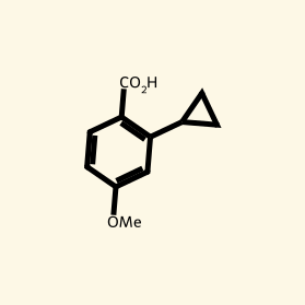 COc1ccc(C(=O)O)c(C2CC2)c1